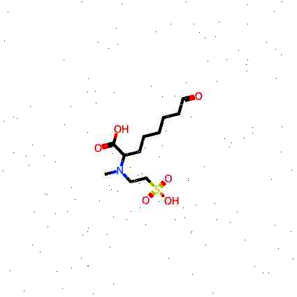 CN(CCS(=O)(=O)O)C(CCCCCC=O)C(=O)O